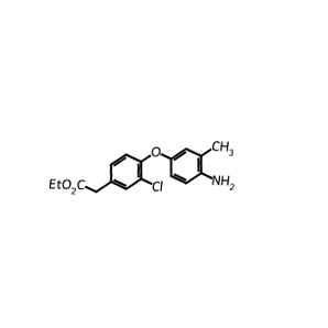 CCOC(=O)Cc1ccc(Oc2ccc(N)c(C)c2)c(Cl)c1